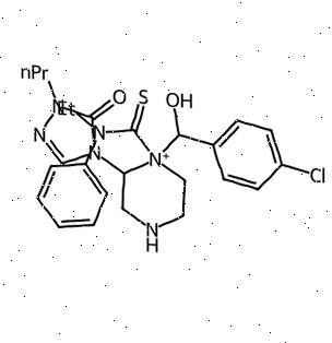 CCCn1ncn(C2CNCC[N+]2(C(=S)N(CC)c2ccccc2)C(O)c2ccc(Cl)cc2)c1=O